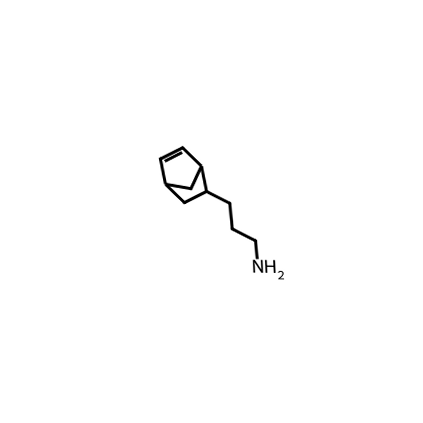 NCCCC1CC2C=CC1C2